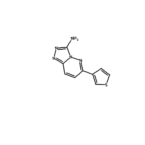 Nc1nnc2ccc(-c3ccsc3)nn12